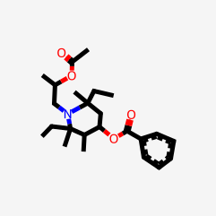 CCC1(C)CC(OC(=O)c2ccccc2)C(C)C(C)(CC)N1CC(C)OC(C)=O